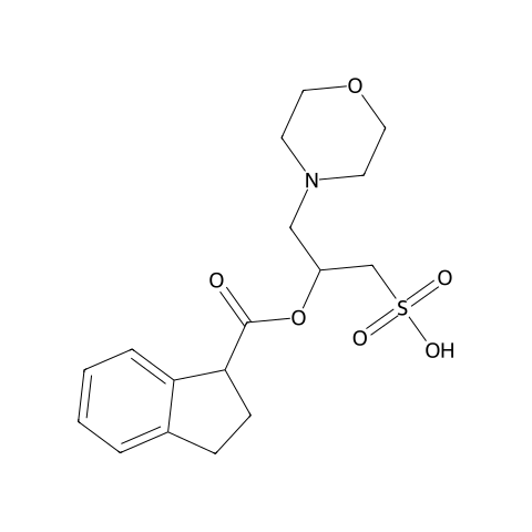 O=C(OC(CN1CCOCC1)CS(=O)(=O)O)C1CCc2ccccc21